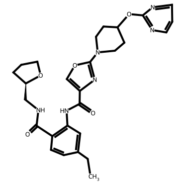 CCc1ccc(C(=O)NC[C@H]2CCCO2)c(NC(=O)c2coc(N3CCC(Oc4ncccn4)CC3)n2)c1